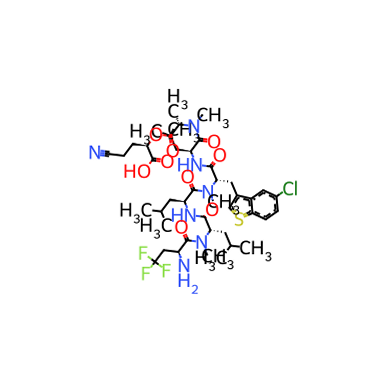 CC(C)C[C@H](NC(=O)[C@H](Cc1csc2ccc(Cl)cc12)N(C)C(=O)[C@H](CC(C)C)NC(=O)[C@H](CC(C)C)N(C)C(=O)[C@@H](N)CC(F)(F)F)C(=O)N(C)[C@@H](C)C(=O)O[C@H](CCC#N)C(=O)O